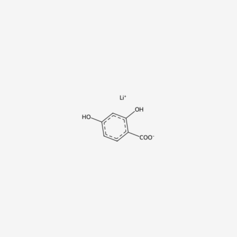 O=C([O-])c1ccc(O)cc1O.[Li+]